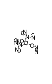 Oc1c(CN(CC2=NCCC=C2)Cc2ccccn2)cc(-c2ccc(N=C=S)cc2)cc1CN(Cc1ccccn1)Cc1ccccn1